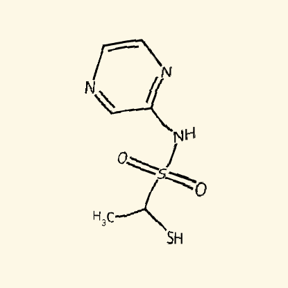 CC(S)S(=O)(=O)Nc1cnccn1